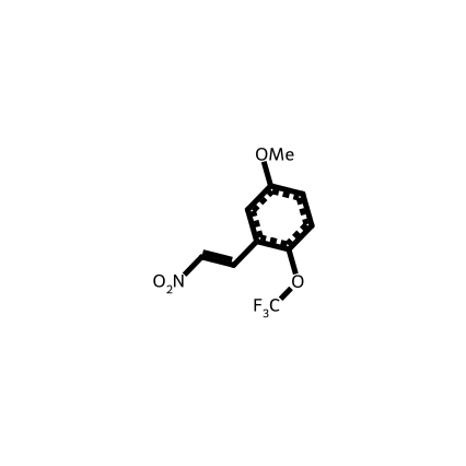 COc1ccc(OC(F)(F)F)c(C=C[N+](=O)[O-])c1